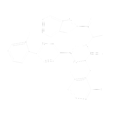 CCC(NC(=O)C(Cc1c(F)cccc1F)NC(=O)c1ccc(-c2ccccc2Cl)nc1)C(=O)c1nc2ccccc2o1